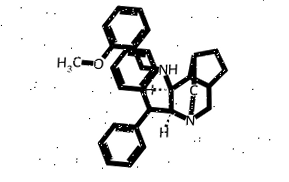 COc1ccccc1CN[C@H]1C2C3CCC2CN(C3)[C@H]1C(c1ccccc1)c1ccccc1